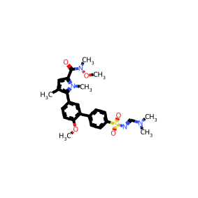 COc1ccc(-c2c(C)cc(C(=O)N(C)OC)n2C)cc1-c1ccc(S(=O)(=O)N=CN(C)C)cc1